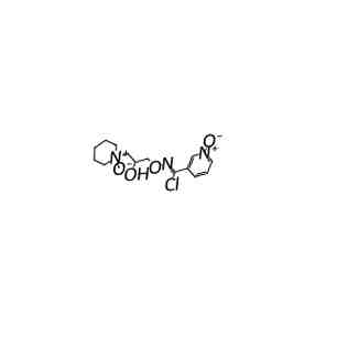 [O-][n+]1cccc(C(Cl)=NOCC(O)C[N+]2([O-])CCCCC2)c1